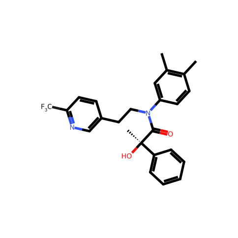 Cc1ccc(N(CCc2ccc(C(F)(F)F)nc2)C(=O)[C@](C)(O)c2ccccc2)cc1C